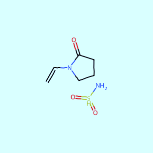 C=CN1CCCC1=O.N[SH](=O)=O